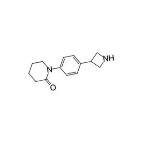 O=C1CCCCN1c1ccc(C2CNC2)cc1